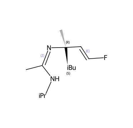 CC[C@H](C)[C@](C)(/C=C/F)/N=C(/C)NC(C)C